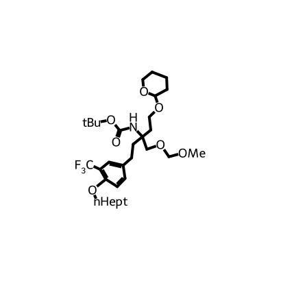 CCCCCCCOc1ccc(CCC(CCOC2CCCCO2)(COCOC)NC(=O)OC(C)(C)C)cc1C(F)(F)F